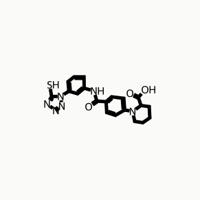 O=C(Nc1cccc(-n2nnnc2S)c1)c1ccc(N2CCCCC2C(=O)O)cc1